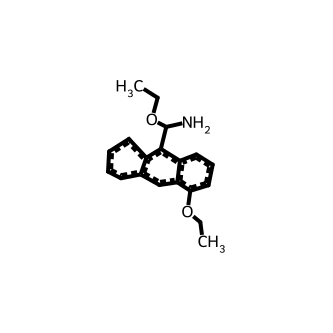 CCOc1cccc2c(C(N)OCC)c3ccccc3cc12